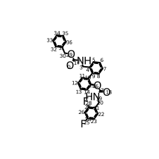 O=C(NCc1ccccc1-c1ccccc1OC(=O)NCc1ccc(F)cc1F)OCc1ccccc1